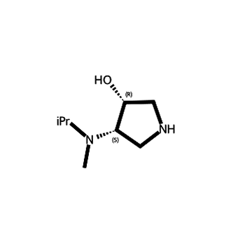 CC(C)N(C)[C@H]1CNC[C@H]1O